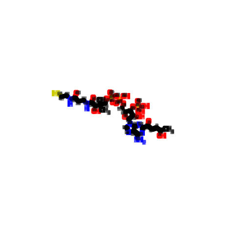 CC(O)C=CC(=O)c1nc(N)c2ncn([C@@H]3O[C@H](COP(=O)(O)OP(=O)(O)OCC(C)(C)[C@@H](O)C(=O)NCCC(=O)NCCS)[C@@H](OP(=O)(O)O)[C@H]3O)c2n1